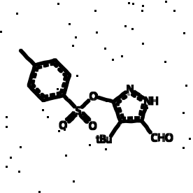 Cc1ccc(S(=O)(=O)Oc2n[nH]c(C=O)c2C(C)(C)C)cc1